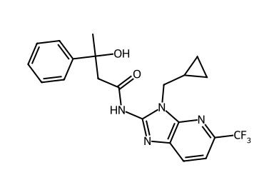 CC(O)(CC(=O)Nc1nc2ccc(C(F)(F)F)nc2n1CC1CC1)c1ccccc1